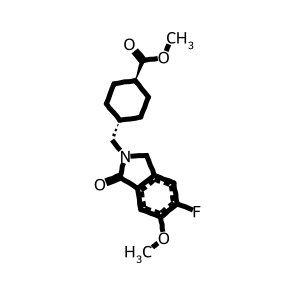 COc1cc2c(cc1F)CN(C[C@H]1CC[C@H](C(=O)OC)CC1)C2=O